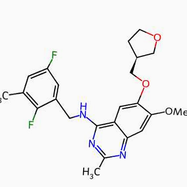 COc1cc2nc(C)nc(NCc3cc(F)cc(C(F)(F)F)c3F)c2cc1OC[C@H]1CCOC1